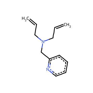 C=CCN(CC=C)Cc1ccccn1